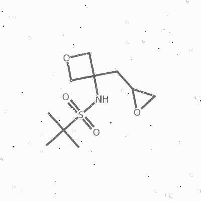 CC(C)(C)S(=O)(=O)NC1(CC2CO2)COC1